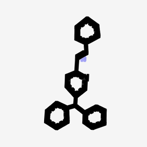 C(=C\c1ccc(C(c2ccccc2)c2ccccc2)cn1)/c1ccccc1